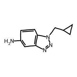 Nc1ccc2c(c1)nnn2CC1CC1